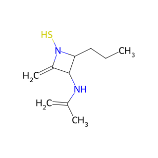 C=C(C)NC1C(=C)N(S)C1CCC